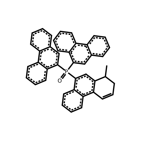 CC1CC=Cc2c1cc(P(=O)(c1cc3ccccc3c3ccccc13)c1cc3ccccc3c3ccccc13)c1ccccc21